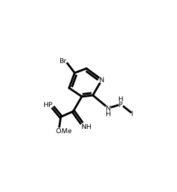 COC(=P)C(=N)c1cc(Br)cnc1NPI